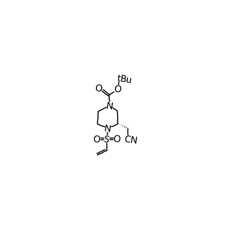 C=CS(=O)(=O)N1CCN(C(=O)OC(C)(C)C)C[C@@H]1CC#N